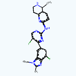 Cc1nc2c(F)cc(-c3nc(Nc4ccc5c(n4)CCNC5C)ncc3F)cc2n1C(C)(C)C